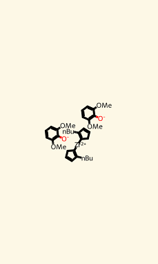 CCCCC1=[C]([Zr+2][C]2=C(CCCC)C=CC2)CC=C1.COc1cccc(OC)c1[O-].COc1cccc(OC)c1[O-]